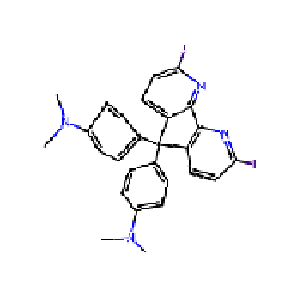 CN(C)c1ccc(C2(c3ccc(N(C)C)cc3)c3ccc(I)nc3-c3nc(I)ccc32)cc1